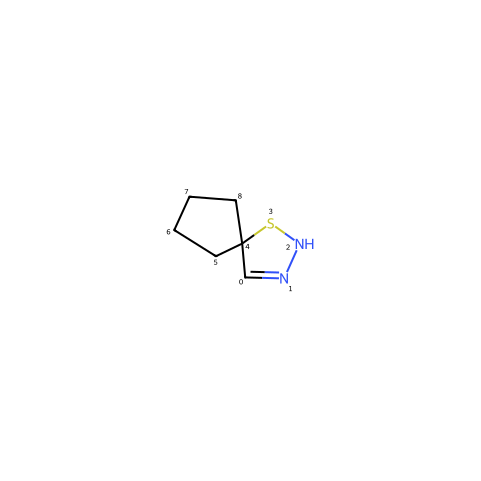 C1=NNSC12CCCC2